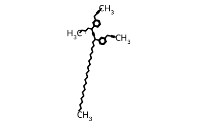 CC#CCc1cccc(C(C#CC(CCCCCCCCCCCCCCCCCCCCCCCC)c2cccc(CC#CC)c2)C[CH]CC)c1